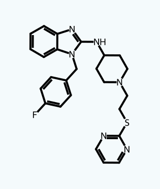 Fc1ccc(Cn2c(NC3CCN(CCSc4ncccn4)CC3)nc3ccccc32)cc1